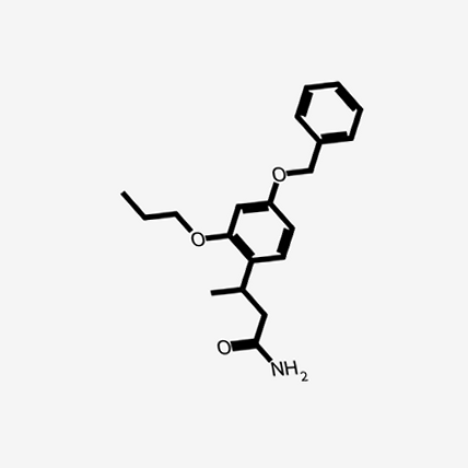 CCCOc1cc(OCc2ccccc2)ccc1C(C)CC(N)=O